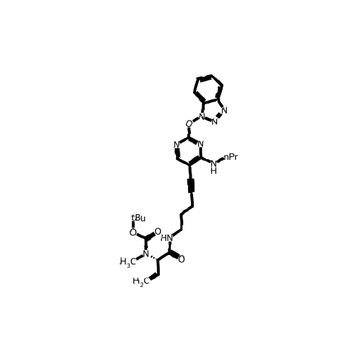 C=C[C@@H](C(=O)NCCCC#Cc1cnc(On2nnc3ccccc32)nc1NCCC)N(C)C(=O)OC(C)(C)C